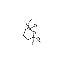 COC1(F)CCC[Si](OC)(OC)O1